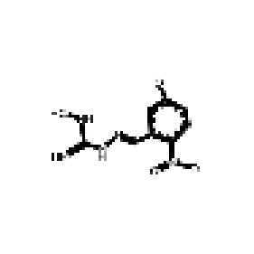 N=C(NO)N/N=C/c1cc(O)ccc1[N+](=O)[O-]